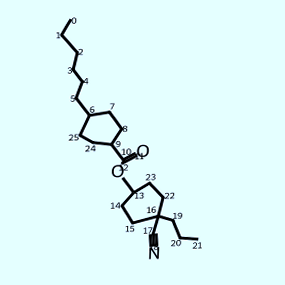 CCCCCCC1CCC(C(=O)OC2CCC(C#N)(CCC)CC2)CC1